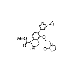 COC(=O)N1c2ccc(-c3cnn(C4CC4)c3)c(OCCN3CCCC3=O)c2CC[C@@H]1C